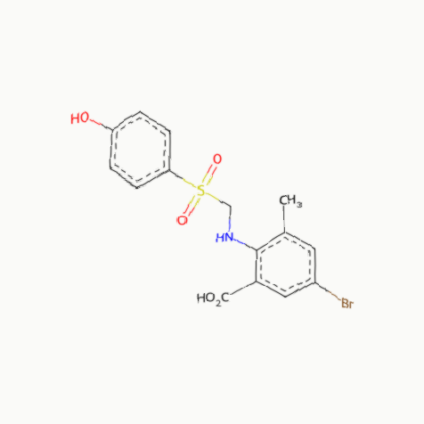 Cc1cc(Br)cc(C(=O)O)c1NCS(=O)(=O)c1ccc(O)cc1